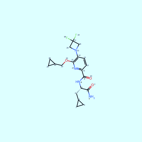 NC(=O)[C@H](CC1CC1)NC(=O)c1ccc(N2CC(F)(F)C2)c(OCC2CC2)n1